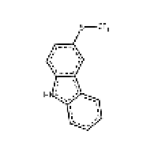 FC(F)(F)Sc1ccc2[nH]c3ccccc3c2c1